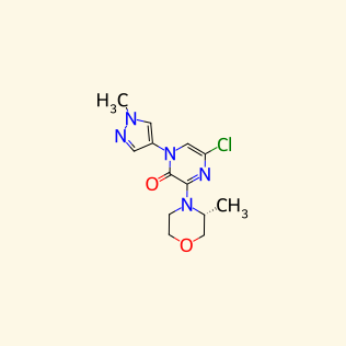 C[C@@H]1COCCN1c1nc(Cl)cn(-c2cnn(C)c2)c1=O